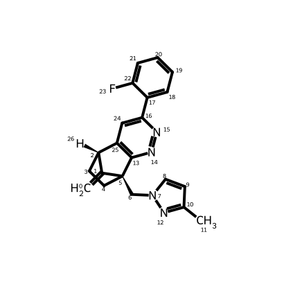 C=C1[C@@H]2CC[C@@]1(Cn1ccc(C)n1)c1nnc(-c3ccccc3F)cc12